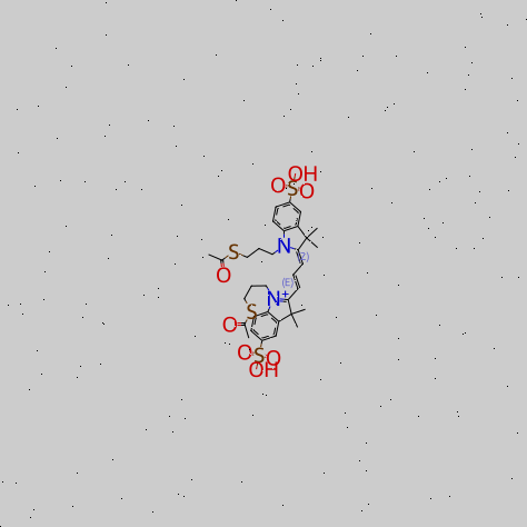 CC(=O)SCCCN1/C(=C\C=C\C2=[N+](CCCSC(C)=O)c3ccc(S(=O)(=O)O)cc3C2(C)C)C(C)(C)c2cc(S(=O)(=O)O)ccc21